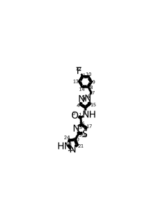 O=C(Nc1cnn(Cc2ccc(F)cc2)c1)c1csc(-c2cn[nH]c2)n1